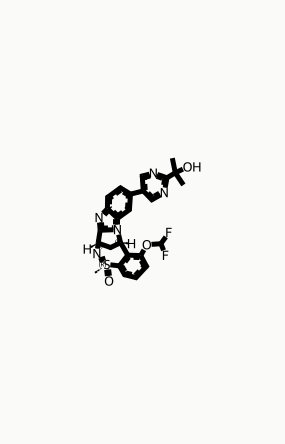 CC(C)(O)c1ncc(-c2ccc3nc4n(c3c2)[C@@H]2C[C@H]4N=[S@](C)(=O)c3cccc(OC(F)F)c32)cn1